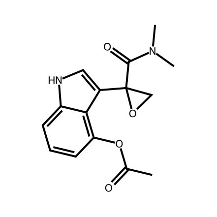 CC(=O)Oc1cccc2[nH]cc(C3(C(=O)N(C)C)CO3)c12